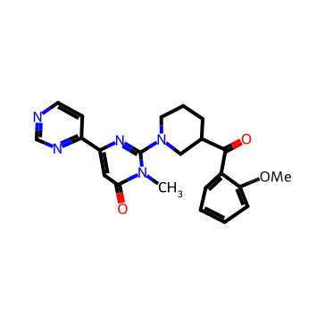 COc1ccccc1C(=O)C1CCCN(c2nc(-c3ccncn3)cc(=O)n2C)C1